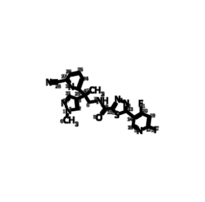 Cn1cc(C(C)(CNC(=O)c2nnc(-c3cnc(F)cc3F)s2)c2cccc(C#N)n2)cn1